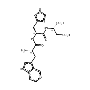 N[C@@H](Cc1c[nH]c2ccccc12)C(=O)N[C@@H](Cc1c[nH]cn1)C(=O)N[C@@H](CC(=O)O)C(=O)O